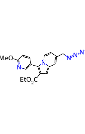 CCOC(=O)c1cc2cc(CN=[N+]=[N-])ccn2c1-c1ccc(OC)nc1